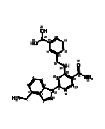 NCc1cccc2c1cnn2-c1nnc(C(N)=O)c(NCc2cccc(B(O)O)c2)n1